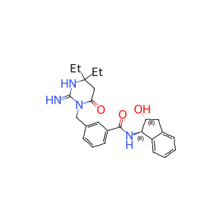 CCC1(CC)CC(=O)N(Cc2cccc(C(=O)N[C@@H]3c4ccccc4C[C@H]3O)c2)C(=N)N1